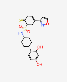 O=S(=O)(N[C@H]1CC[C@@H](c2ccc(O)cc2O)CC1)C1=CC(c2ccon2)=CCC1=S